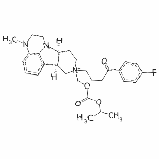 CC(C)OC(=O)OC[N+]1(CCCC(=O)c2ccc(F)cc2)CC[C@H]2[C@@H](C1)c1cccc3c1N2CCN3C